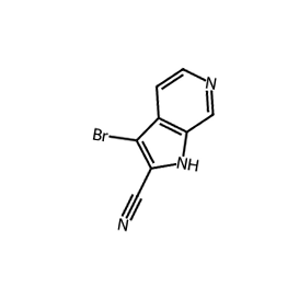 N#Cc1[nH]c2cnccc2c1Br